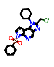 O=S(=O)(c1ccccc1)n1ccc2c1ncc1nc(CCl)n(C3CCCCC3)c12